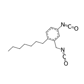 CCCCCCCc1ccc(N=C=O)cc1CN=C=O